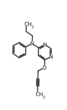 CC#CCOc1cc(N(CCC)c2ccccc2)ncn1